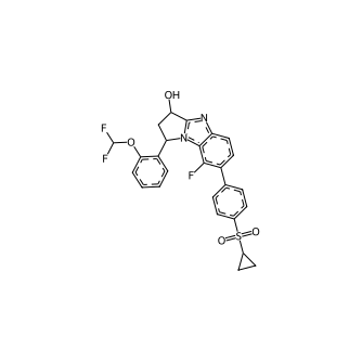 O=S(=O)(c1ccc(-c2ccc3nc4n(c3c2F)C(c2ccccc2OC(F)F)CC4O)cc1)C1CC1